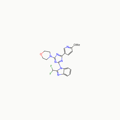 COc1ccc(-c2nc(N3CCOCC3)nc(-n3c(C(F)F)nc4ccccc43)n2)cn1